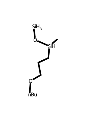 CCCCOCCC[SiH](C)O[SiH3]